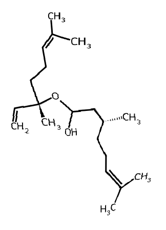 C=C[C@](C)(CCC=C(C)C)OC(O)C[C@H](C)CCC=C(C)C